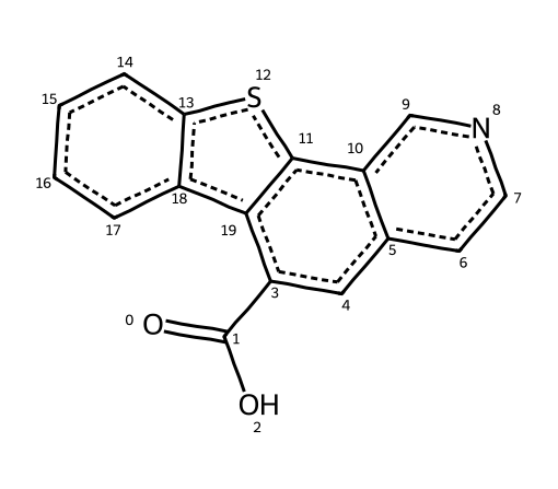 O=C(O)c1cc2ccncc2c2sc3ccccc3c12